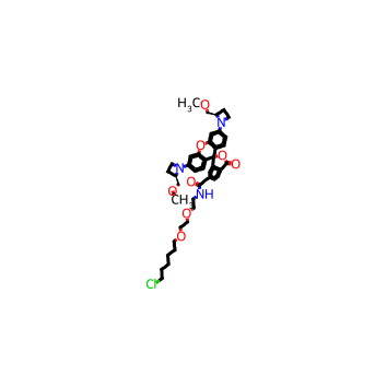 COC[C@H]1CCN1c1ccc2c(c1)Oc1cc(N3CC[C@@H]3COC)ccc1C21OC(=O)c2ccc(C(=O)NCCOCCOCCCCCCCl)cc21